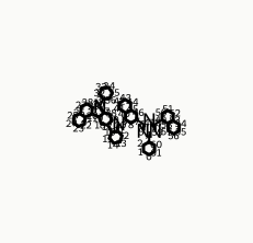 c1ccc(-c2nc(-c3cc(-n4c5ccccc5c5cc6c7c8ccccc8ccc7n(-c7ccccc7)c6cc54)c4ccccc4c3)nc(-c3cccc4ccccc34)n2)cc1